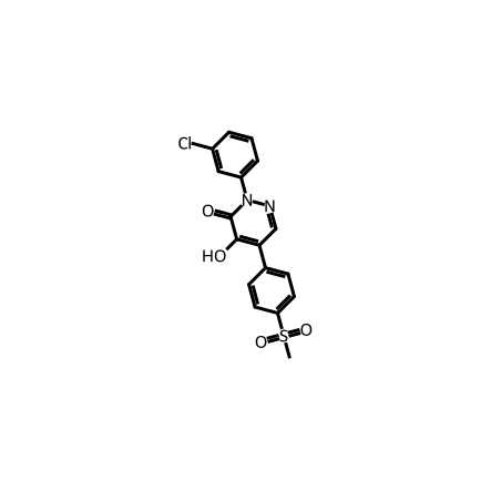 CS(=O)(=O)c1ccc(-c2cnn(-c3cccc(Cl)c3)c(=O)c2O)cc1